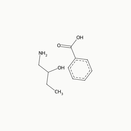 CCC(O)CN.O=C(O)c1ccccc1